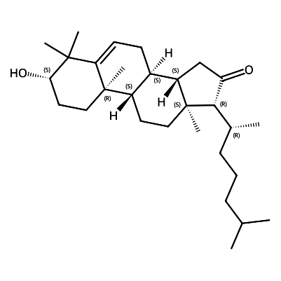 CC(C)CCC[C@@H](C)[C@H]1C(=O)C[C@H]2[C@@H]3CC=C4C(C)(C)[C@@H](O)CC[C@]4(C)[C@H]3CC[C@]12C